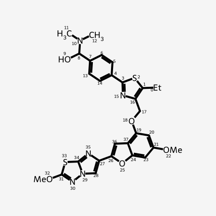 CCc1sc(-c2ccc(C(O)N(C)C)cc2)nc1COc1cc(OC)cc2oc(-c3cn4nc(OC)sc4n3)cc12